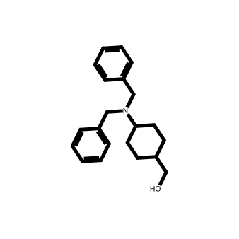 OCC1CCC(N(Cc2ccccc2)Cc2ccccc2)CC1